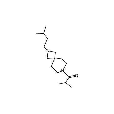 CC(C)CCN1CC2(CCN(C(=O)C(C)C)CC2)C1